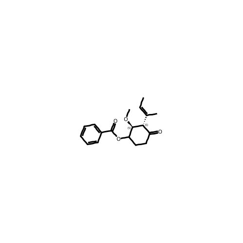 CC=C(C)[C@@H]1C(=O)CCC(OC(=O)c2ccccc2)[C@H]1OC